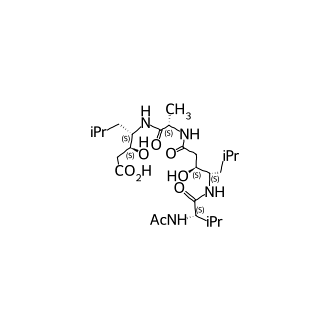 CC(=O)N[C@H](C(=O)N[C@@H](CC(C)C)[C@@H](O)CC(=O)N[C@@H](C)C(=O)N[C@@H](CC(C)C)[C@@H](O)CC(=O)O)C(C)C